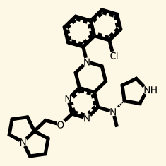 CN(c1nc(OCC23CCCN2CCC3)nc2c1CCN(c1cccc3cccc(Cl)c13)C2)[C@@H]1CCNC1